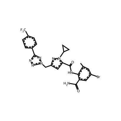 Cc1cc(Br)cc(C(N)=O)c1NC(=O)c1cc(Cn2nnc(-c3ccc(C(F)(F)F)cc3)n2)nn1C1CC1